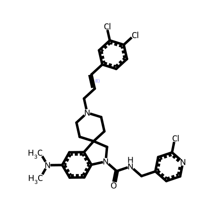 CN(C)c1ccc2c(c1)C1(CCN(C/C=C/c3ccc(Cl)c(Cl)c3)CC1)CN2C(=O)NCc1ccnc(Cl)c1